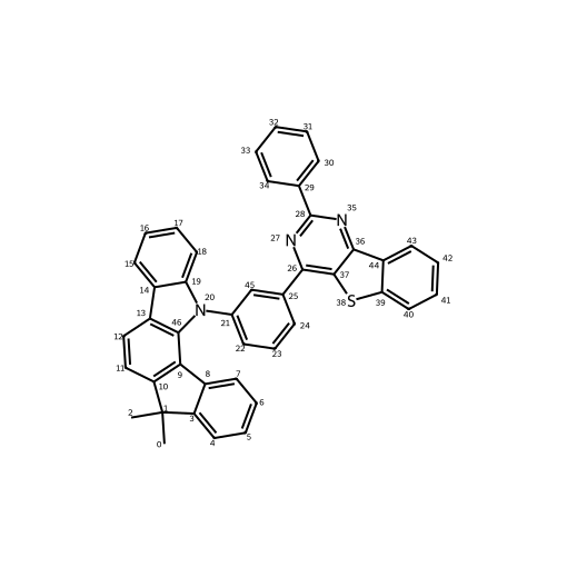 CC1(C)c2ccccc2-c2c1ccc1c3ccccc3n(-c3cccc(-c4nc(-c5ccccc5)nc5c4sc4ccccc45)c3)c21